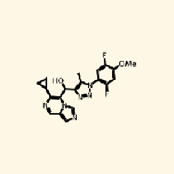 COc1cc(F)c(-n2nnc(C(O)c3c(C4CC4)ncc4cncn34)c2C)cc1F